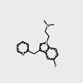 CN(C)CCn1cc(Cc2ccccn2)c2cc(F)ccc21